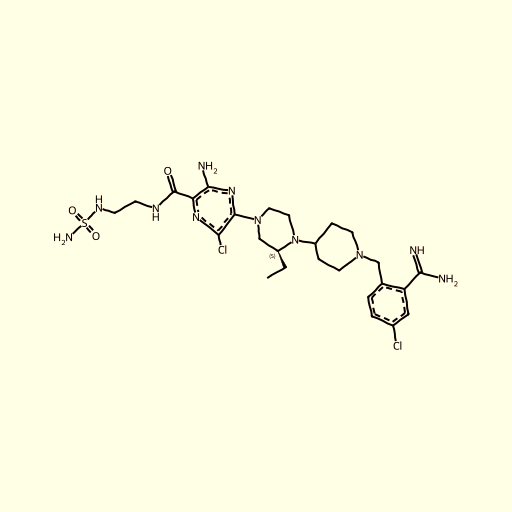 CC[C@H]1CN(c2nc(N)c(C(=O)NCCNS(N)(=O)=O)nc2Cl)CCN1C1CCN(Cc2ccc(Cl)cc2C(=N)N)CC1